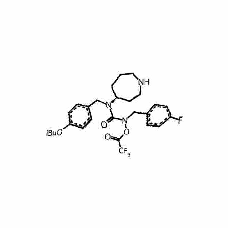 CC(C)COc1ccc(CN(C(=O)N(Cc2ccc(F)cc2)OC(=O)C(F)(F)F)[C@H]2CCCNCC2)cc1